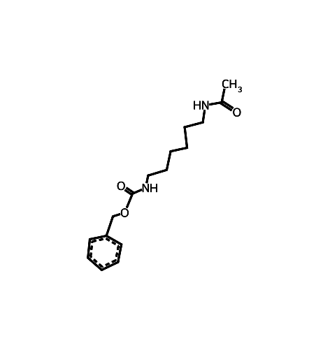 CC(=O)NCCCCCCNC(=O)OCc1ccccc1